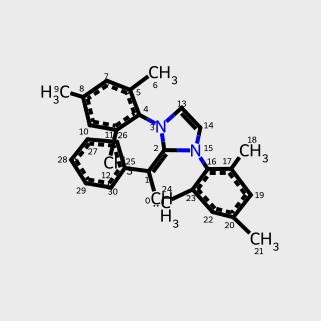 [CH]C(=C1N(c2c(C)cc(C)cc2C)C=CN1c1c(C)cc(C)cc1C)c1ccccc1